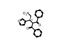 O=C(c1ccccc1)C(C(=O)c1ccccc1)[C@H](C[N+](=O)[O-])c1ccoc1